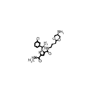 CNC(=O)c1cc(C(=O)NCCCC2OCC(N)CO2)n(C(C)c2cccc(Cl)c2)n1